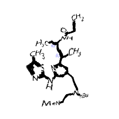 C=CC(=O)NC(=C/C)/C=C(\C)c1cc(CN(CCCC)CCNC)cc(Nc2ncc(C)s2)n1